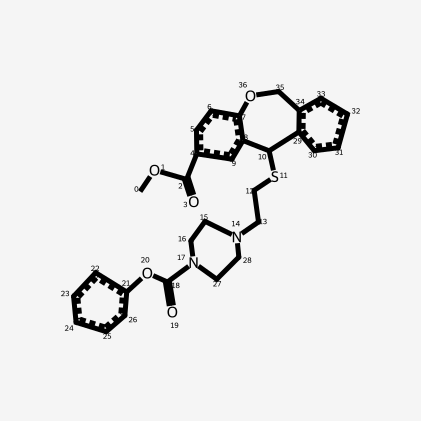 COC(=O)c1ccc2c(c1)C(SCCN1CCN(C(=O)Oc3ccccc3)CC1)c1ccccc1CO2